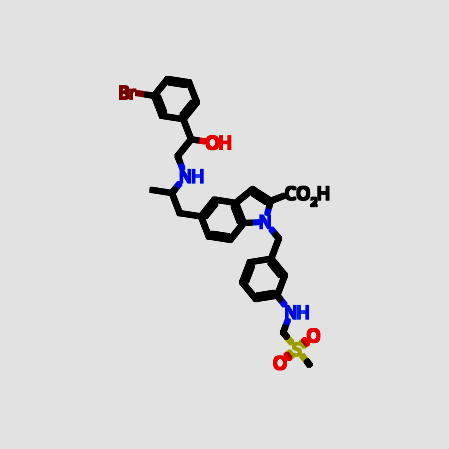 CC(Cc1ccc2c(c1)cc(C(=O)O)n2Cc1cccc(NCS(C)(=O)=O)c1)NCC(O)c1cccc(Br)c1